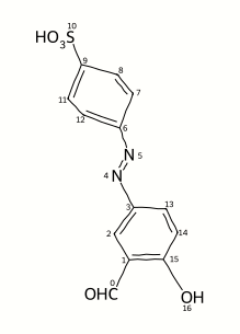 O=Cc1cc(N=Nc2ccc(S(=O)(=O)O)cc2)ccc1O